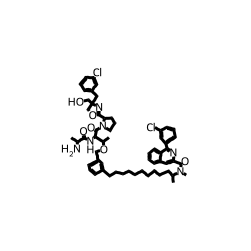 CC(N)C(=O)NC(C(=O)N1CCCC1C1=NC(CO)(Cc2cccc(Cl)c2)CO1)C(C)OCc1cccc(CCCCCCCCCCC(C)N(C)C(=O)c2cc3ccccc3c(-c3cccc(Cl)c3)n2)c1